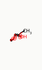 CCCCCCCCC1C2Cc3cccc(OCC(=O)OCc4ccccc4)c3CC2C[C@H]1OC(=O)O